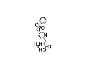 NC(Cc1ccc(OS(=O)(=O)c2ccccc2)cn1)C(=O)O